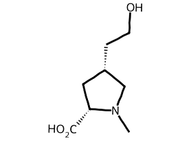 CN1C[C@@H](CCO)C[C@H]1C(=O)O